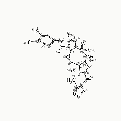 Cc1cc(NC(=O)c2c3c(cn2C)S(=O)(=O)N[C@H]2CN(C(=O)c4ncoc4C)C[C@H]2CO3)ccc1F